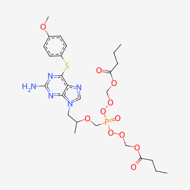 CCCC(=O)OCOOP(=O)(COC(C)Cn1cnc2c(Sc3ccc(OC)cc3)nc(N)nc21)OOCOC(=O)CCC